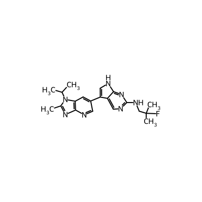 Cc1nc2ncc(-c3c[nH]c4nc(NCC(C)(C)F)ncc34)cc2n1C(C)C